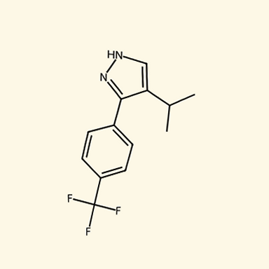 CC(C)c1c[nH]nc1-c1ccc(C(F)(F)F)cc1